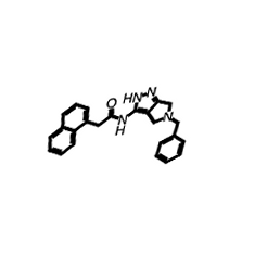 O=C(Cc1cccc2ccccc12)Nc1[nH]nc2c1CN(Cc1ccccc1)C2